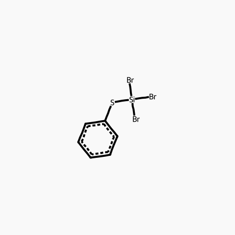 Br[Si](Br)(Br)Sc1ccccc1